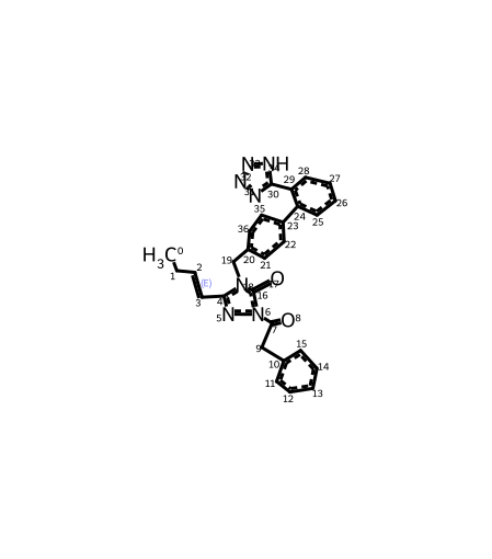 CC/C=C/c1nn(C(=O)Cc2ccccc2)c(=O)n1Cc1ccc(-c2ccccc2-c2nnn[nH]2)cc1